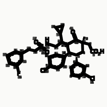 C[C@]1(CC(=O)O)C[C@H](c2cccc(Cl)c2)[C@@H](c2ccc(Cl)cc2)N(C(CNS(=O)(=O)CCc2cccc(F)c2)C2CC2)C1=O